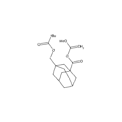 C=C(OC)OC(=O)C12CC3CC(CC(COC(=O)C(C)(C)C)(C3)C1)C2